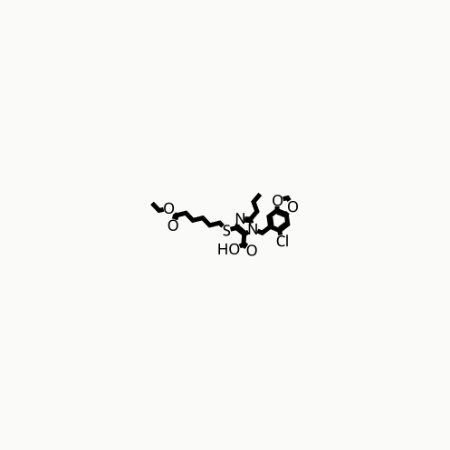 CCCc1nc(SCCCCCC(=O)OCC)c(C(=O)O)n1Cc1cc2c(cc1Cl)OCO2